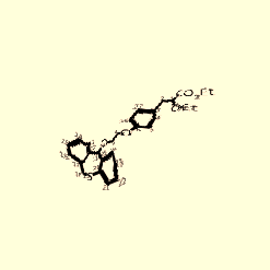 CCOC(=O)C(Cc1ccc(OCCOC2c3ccccc3CSc3ccccc32)cc1)OCC